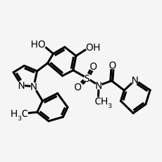 Cc1ccccc1-n1nccc1-c1cc(S(=O)(=O)N(C)C(=O)c2ccccn2)c(O)cc1O